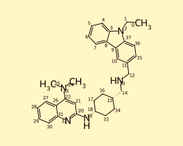 CCn1c2ccccc2c2cc(CNC[C@H]3CC[C@@H](Nc4cc(N(C)C)c5ccccc5n4)CC3)ccc21